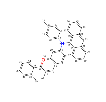 CC(=Cc1ccc(N(c2ccc(C)cc2)c2c3ccccc3cc3ccccc23)cc1)C(=O)c1ccccc1C